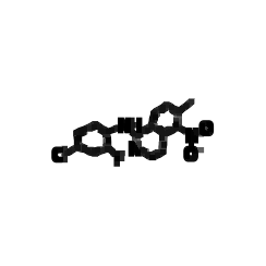 Cc1ccc2c(Nc3ccc(Cl)cc3F)nccc2c1[N+](=O)[O-]